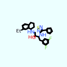 CCc1ccc2c(c1)C(NCC(O)C(Cc1cc(F)cc(F)c1)Nc1nsnc1-c1ccccc1)CCC2